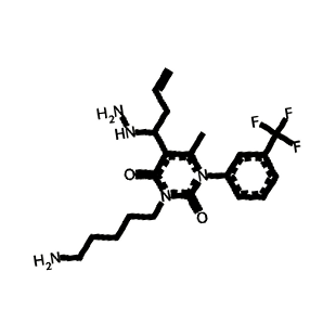 C=CCC(NN)c1c(C)n(-c2cccc(C(F)(F)F)c2)c(=O)n(CCCCCN)c1=O